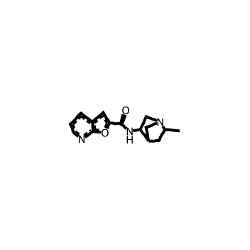 CC1CC2CN1CC2NC(=O)c1cc2cccnc2o1